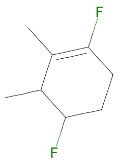 CC1=C(F)CCC(F)C1C